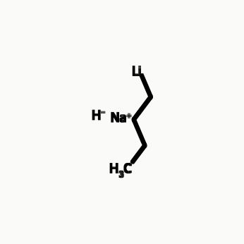 [H-].[Li][CH2]CCC.[Na+]